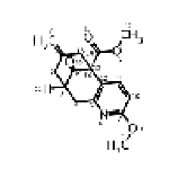 C=C1C[C@H]2Cc3nc(OC)ccc3[C@@](C(=O)OC)(C1)C2=O